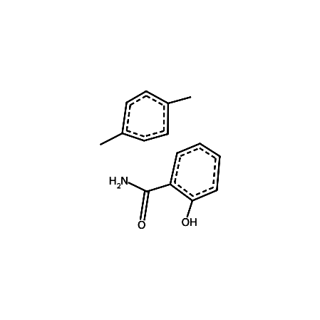 Cc1ccc(C)cc1.NC(=O)c1ccccc1O